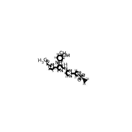 COCn1ccc(-c2cnc(Nc3ccnc(-c4cnn(S(=O)(=O)C5CC5)c4)n3)cc2NC2CCC(C)(O)CC2)n1